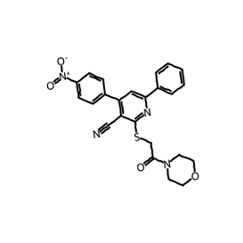 N#Cc1c(-c2ccc([N+](=O)[O-])cc2)cc(-c2ccccc2)nc1SCC(=O)N1CCOCC1